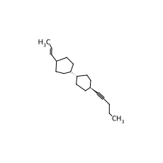 C/C=C/C1CCC([C@H]2CC[C@H](C#CCCC)CC2)CC1